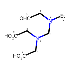 CCN(CC=O)CN(CC(=O)O)CC(=O)O